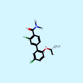 CCN(CC)C(=O)c1ccc(-c2cc(Cl)ccc2O[C@@H](C)C(=O)O)cc1F